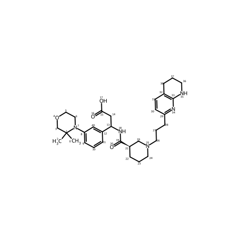 CC1(C)COCCN1c1cccc(C(CC(=O)O)NC(=O)[C@@H]2CCCN(CCCc3ccc4c(n3)NCCC4)C2)c1